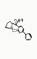 CN1CCCCC1C(O)c1ccc(-c2ccccc2)cc1